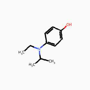 CCN(c1ccc(O)cc1)C(C)C